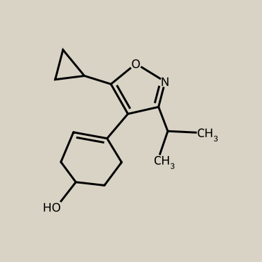 CC(C)c1noc(C2CC2)c1C1=CCC(O)CC1